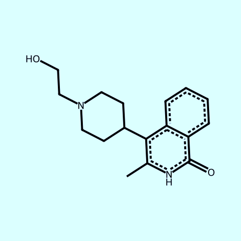 Cc1[nH]c(=O)c2ccccc2c1C1CCN(CCO)CC1